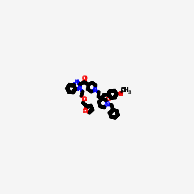 COc1ccc(CC2(CCN3CCC(C(=O)c4nc5ccccc5n4CCOCc4ccco4)CC3)CCCN(Cc3ccccc3)C2=O)cc1